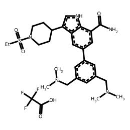 CCS(=O)(=O)N1CCC(c2c[nH]c3c(C(N)=O)cc(-c4cc(CN(C)C)cc(CN(C)C)c4)cc23)CC1.O=C(O)C(F)(F)F